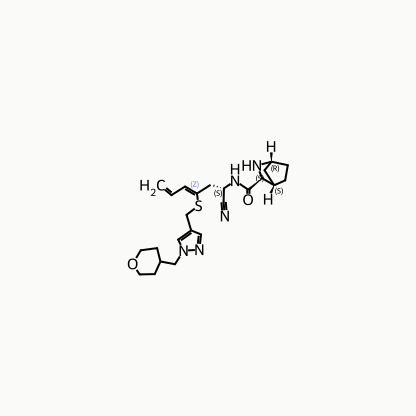 C=C/C=C(/C[C@@H](C#N)NC(=O)[C@H]1N[C@@H]2CC[C@H]1C2)SCc1cnn(CC2CCOCC2)c1